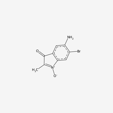 CC1=[N+]([O-])c2cc(Br)c(N)cc2C1=O